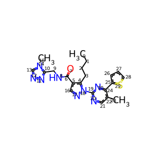 CCCCc1c(C(=O)NCc2nncn2C)cnn1-c1ncc(C)c(-c2cccs2)n1